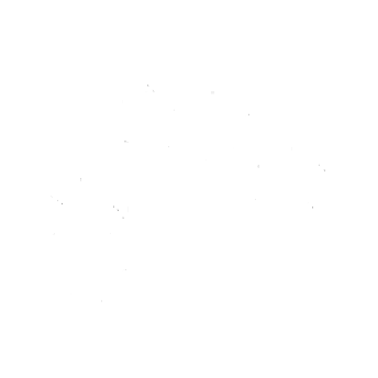 c1cc(Nc2ccc(-c3ccnnc3)cc2)cc(-c2nc3ccccc3[nH]2)c1